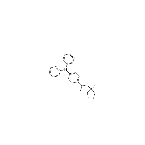 CCC(C)(CC)CC(C)c1ccc(N(c2ccccc2)c2ccccc2)cc1